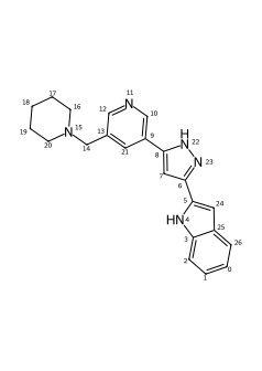 c1ccc2[nH]c(-c3cc(-c4cncc(CN5CCCCC5)c4)[nH]n3)cc2c1